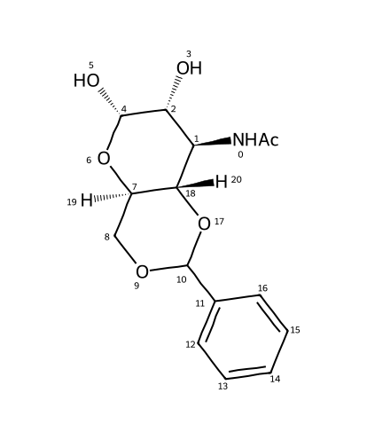 CC(=O)N[C@@H]1[C@@H](O)[C@@H](O)O[C@@H]2COC(c3ccccc3)O[C@@H]12